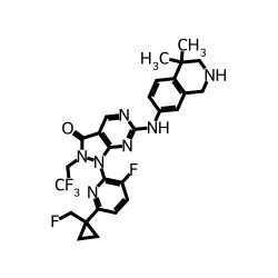 CC1(C)CNCc2cc(Nc3ncc4c(=O)n(CC(F)(F)F)n(-c5nc(C6(CF)CC6)ccc5F)c4n3)ccc21